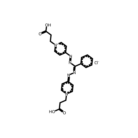 O=C(O)CCn1ccc(=NN=C(N=Nc2cc[n+](CCC(=O)O)cc2)c2ccccc2)cc1.[Cl-]